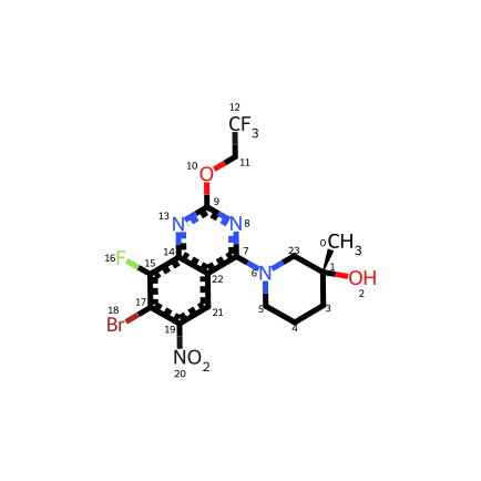 C[C@@]1(O)CCCN(c2nc(OCC(F)(F)F)nc3c(F)c(Br)c([N+](=O)[O-])cc23)C1